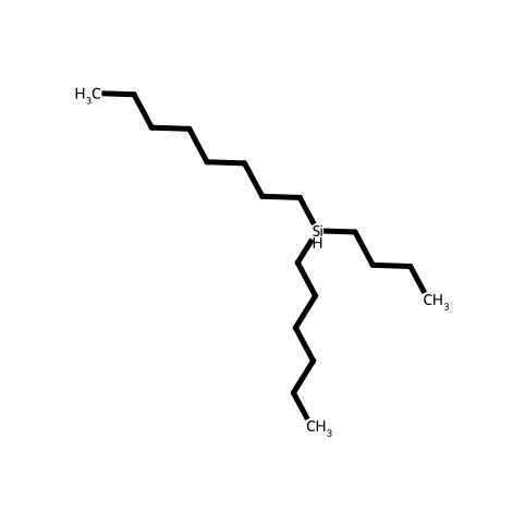 CCCCCCCC[SiH](CCCC)CCCCCC